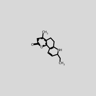 CCC1C=CC2=C(CCc3c(C)cc(=O)oc32)N1